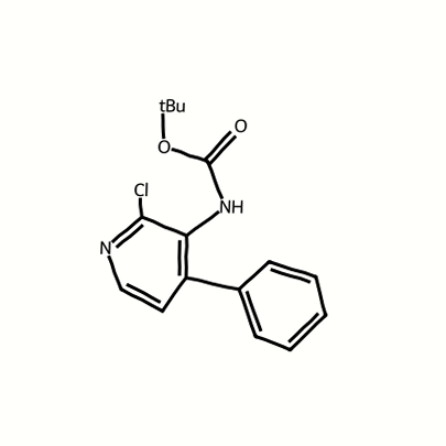 CC(C)(C)OC(=O)Nc1c(-c2ccccc2)ccnc1Cl